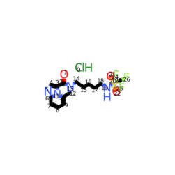 Cl.O=C1c2cnc3cccc(n23)CN1CCCCCNS(=O)(=O)C(F)(F)F